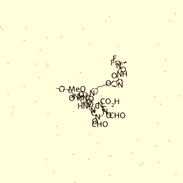 C#C[C@H]1CC(F)(F)CN1C(=O)CNC(=O)c1ccnc2ccc(OCCCCC3CCN(C(=O)[C@H](CC(=O)OC)NC(=O)[C@H](CCCNC(=O)CCCc4ccc(C)cc4)NC(=O)CN4CCN(COC=O)CCN(COC=O)CCN(CC(=O)O)CC4)CC3)cc12